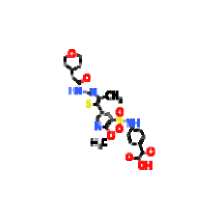 COc1ncc(-c2sc(NC(=O)CC3CCOCC3)nc2C)cc1S(=O)(=O)Nc1ccc(C(=O)C(=O)O)cc1